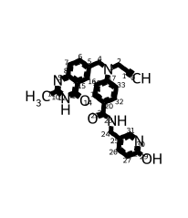 C#CCN(Cc1ccc2nc(C)[nH]c(=O)c2c1)c1ccc(C(=O)NCc2ccc(O)nc2)cc1